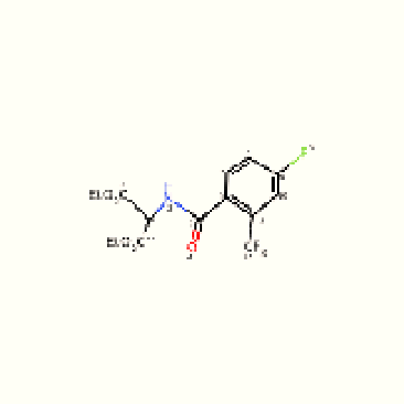 CCOC(=O)C(NC(=O)c1ccc(F)cc1C(F)(F)F)C(=O)OCC